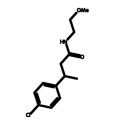 COCCNC(=O)CC(C)c1ccc(Cl)cc1